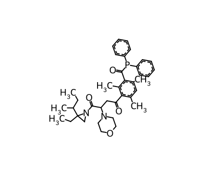 CCC(C)C1(CC)CN1C(=O)C(CC(=O)c1c(C)cc(C)c(C(=O)P(c2ccccc2)c2ccccc2)c1C)N1CCOCC1